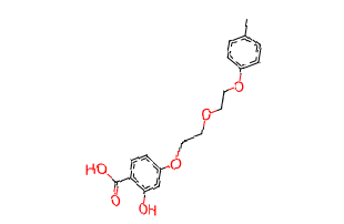 Cc1ccc(OCCOCCOc2ccc(C(=O)O)c(O)c2)cc1